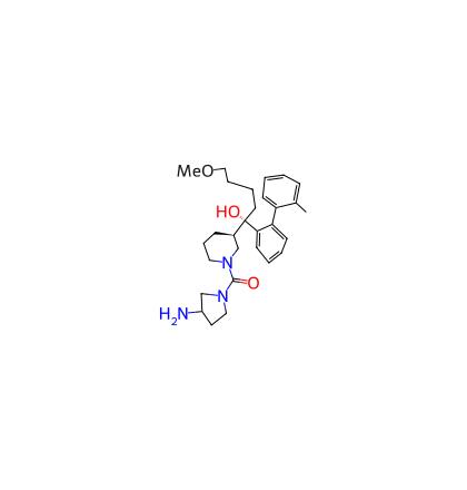 COCCCC[C@@](O)(c1ccccc1-c1ccccc1C)[C@@H]1CCCN(C(=O)N2CCC(N)C2)C1